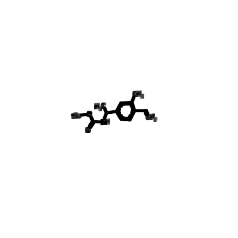 C=Cc1ccc(C(C)NC(=O)OC(C)(C)C)cc1C